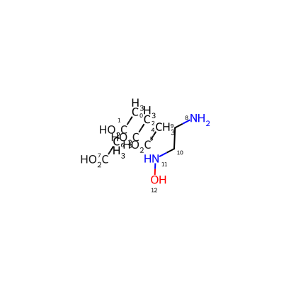 CC(=O)O.CC(=O)O.CC(=O)O.CC(=O)O.NCCNO